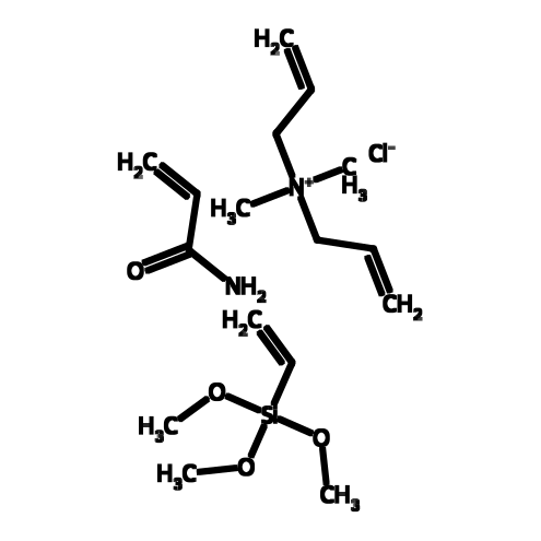 C=CC(N)=O.C=CC[N+](C)(C)CC=C.C=C[Si](OC)(OC)OC.[Cl-]